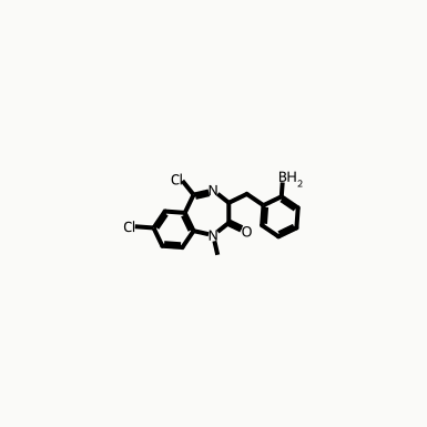 Bc1ccccc1CC1N=C(Cl)c2cc(Cl)ccc2N(C)C1=O